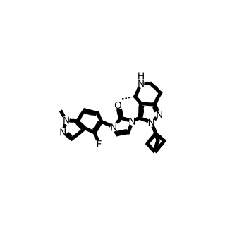 C[C@@H]1NCCc2nn(C34CC(C3)C4)c(-n3ccn(-c4ccc5c(cnn5C)c4F)c3=O)c21